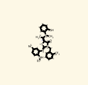 CCNc1ccc(C#N)cc1N=C1S/C(=C(\C)N(C)c2ccccc2S)C(=O)N1Cc1ccccc1C(F)(F)F